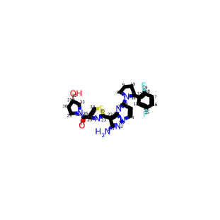 Nc1nn2ccc(N3CCCC3c3cc(F)ccc3F)nc2c1-c1nc(C(=O)N2CC[C@H](O)C2)cs1